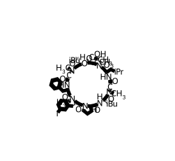 CCC(C)[C@@H]1NC(=O)[C@@H]2CCCN2C(=O)[C@H](Cc2cccc(I)c2)N(C)C(=O)C(Cc2ccccc2)NC(=O)CN(C)C(=O)C([C@H](C)CC)OC(=O)[C@H](C(C)(C)O)N(C)C(=O)C(CC(C)C)NC(=O)CN(C)C1=O